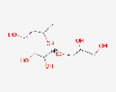 CC(O)CCO.CCCC(O)CO.OCC(O)CO